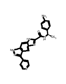 C[C@@H](NC(=O)c1nc2cc3c(-c4ccncc4)n[nH]c3cc2[nH]1)c1ccc(N)cc1